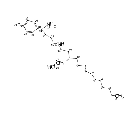 CCCCCCCCCCCCCCNCCCC(N)c1ccc(F)cc1.Cl.Cl